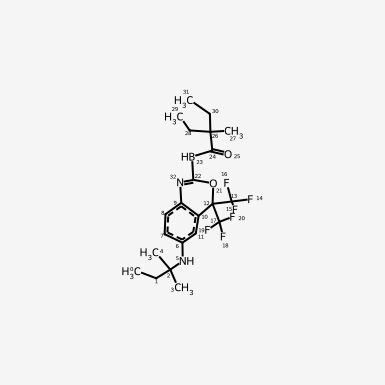 CCC(C)(C)Nc1ccc2c(c1)C(C(F)(F)F)(C(F)(F)F)OC(BC(=O)C(C)(CC)CC)=N2